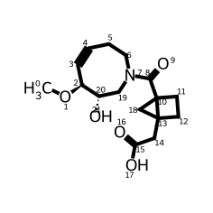 CO[C@H]1C#CCCN(C(=O)C23CCC2(CC(=O)O)C3)C[C@@H]1O